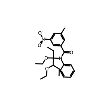 CCOC(CC)C(CC)(OCC)N(C(=O)c1cc(I)cc([N+](=O)[O-])c1)c1ccccc1